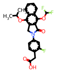 CC(C)Oc1c2c(c(OC(F)F)c3ccccc13)C(=O)N(c1ccc(CC(=O)O)c(F)c1)C2